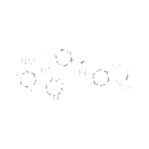 CNc1cc(-c2cncnc2Nc2cc(C(=O)Nc3ccc(N4CCC4=O)c(C(F)(F)F)c3)ccc2C)ncn1